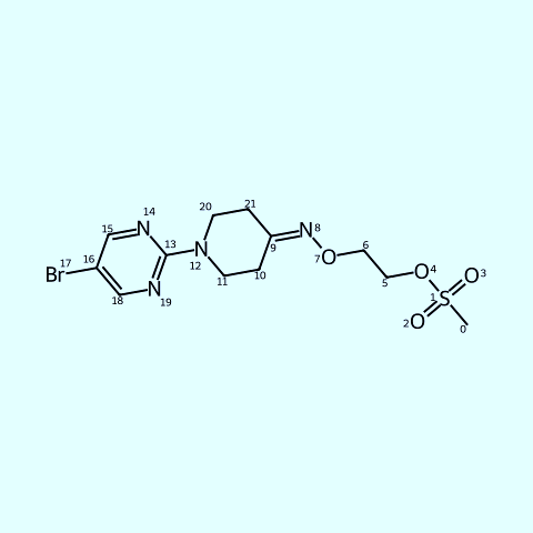 CS(=O)(=O)OCCON=C1CCN(c2ncc(Br)cn2)CC1